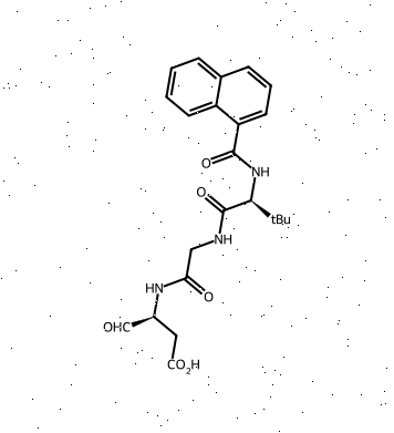 CC(C)(C)[C@H](NC(=O)c1cccc2ccccc12)C(=O)NCC(=O)N[C@H](C=O)CC(=O)O